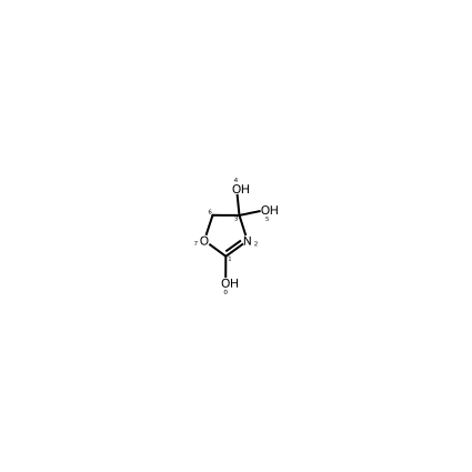 OC1=NC(O)(O)CO1